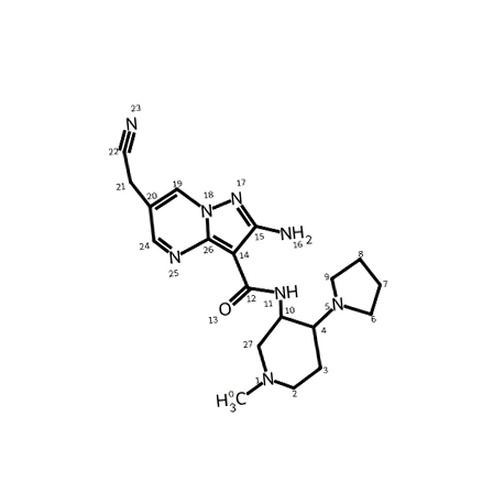 CN1CCC(N2CCCC2)C(NC(=O)c2c(N)nn3cc(CC#N)cnc23)C1